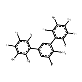 [2H]c1c([2H])c([2H])c(-c2cc(F)c(N)c(-c3c([2H])c([2H])c([2H])c([2H])c3[2H])c2)c([2H])c1[2H]